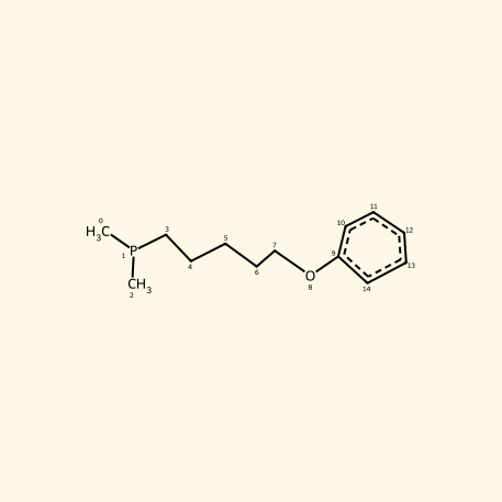 CP(C)CCCCCOc1ccccc1